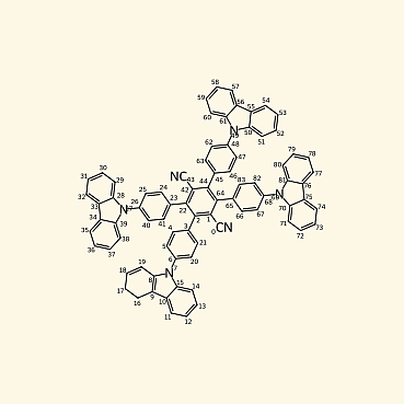 N#Cc1c(-c2ccc(-n3c4c(c5ccccc53)CCC=C4)cc2)c(-c2ccc(-n3c4ccccc4c4ccccc43)cc2)c(C#N)c(-c2ccc(-n3c4ccccc4c4ccccc43)cc2)c1-c1ccc(-n2c3ccccc3c3ccccc32)cc1